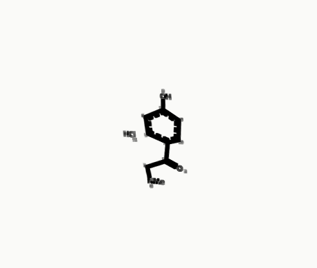 CNCC(=O)c1ccc(O)cc1.Cl